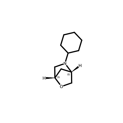 C1CCC(N2C[C@@H]3C[C@H]2CO3)CC1